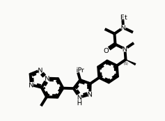 CCN(C)C(C)C(=O)N(C)[C@@H](C)c1ccc(-c2n[nH]c(-c3cc(C)c4ncnn4c3)c2C(C)C)cc1